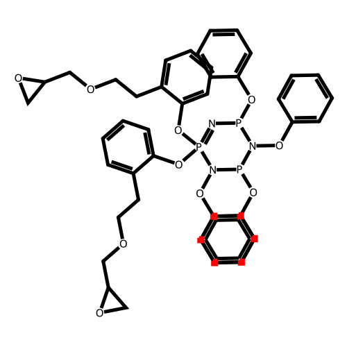 c1ccc(ON2P(Oc3ccccc3)N=P(Oc3ccccc3CCOCC3CO3)(Oc3ccccc3CCOCC3CO3)N(Oc3ccccc3)P2Oc2ccccc2)cc1